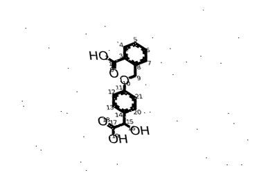 O=C(O)c1ccccc1COc1ccc(C(O)C(=O)O)cc1